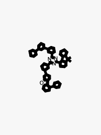 CC1(C)c2ccccc2-c2c(-c3nc(-c4cccc(-c5cccc(-c6ccccc6)c5)c4)nc(-c4cccc(-c5ccc6c(c5)oc5cccc(-c7ccccc7)c56)c4)n3)cccc21